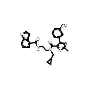 Cc1nc(C(=O)N(CCNC(=O)c2cccc3occc23)CC2CC2)c(-c2cccc(C#N)c2)s1